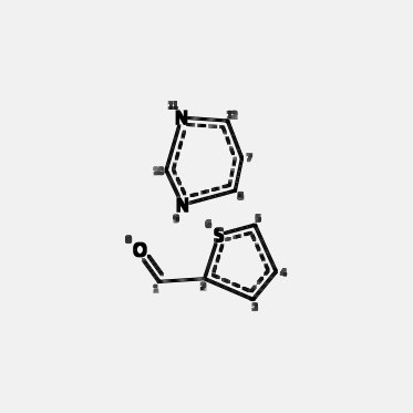 O=Cc1cccs1.c1cncnc1